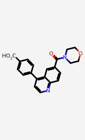 O=C(O)c1ccc(-c2ccnc3ccc(C(=O)N4CCOCC4)cc23)cc1